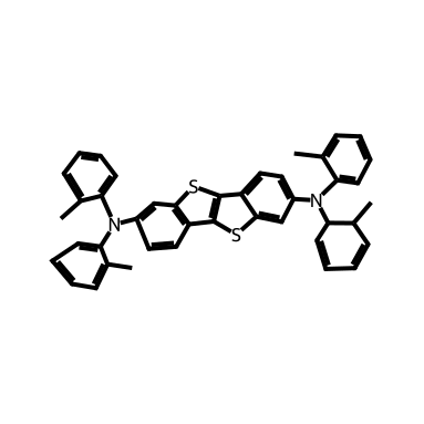 Cc1ccccc1N(c1ccc2c(c1)sc1c3ccc(N(c4ccccc4C)C4C=CC=CC4C)cc3sc21)c1ccccc1C